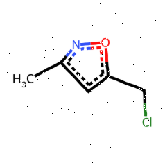 Cc1cc(CCl)on1